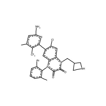 Cc1cccc(C(C)C)c1-n1c(=O)c(=O)n(CC2CNC2)c2cc(Cl)c(-c3nc(N)cc(C)c3C(F)(F)F)cc21